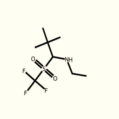 CCNC(C(C)(C)C)S(=O)(=O)C(F)(F)F